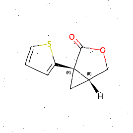 O=C1OC[C@@H]2C[C@]12c1cccs1